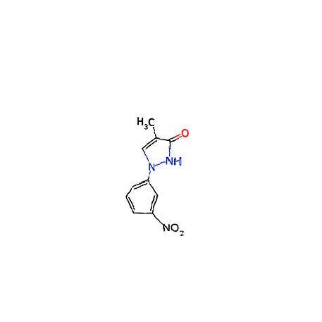 Cc1cn(-c2cccc([N+](=O)[O-])c2)[nH]c1=O